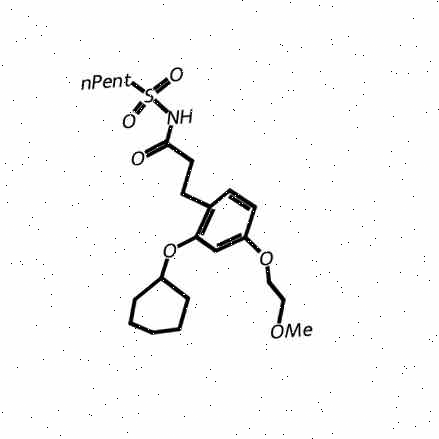 CCCCCS(=O)(=O)NC(=O)CCc1ccc(OCCOC)cc1OC1CCCCC1